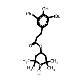 CC(C)(C)c1cc(CCC(=O)OC2CC(C)(C)N(O)C(C)(C)C2)cc(C(C)(C)C)c1O